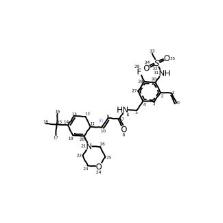 C=Cc1cc(CNC(=O)/C=C/C2CC=C(C(C)(C)C)C=C2N2CCOCC2)cc(F)c1NS(C)(=O)=O